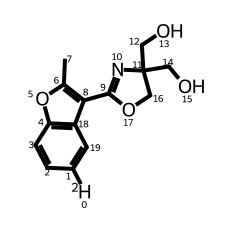 [2H]c1ccc2oc(C)c(C3=NC(CO)(CO)CO3)c2c1